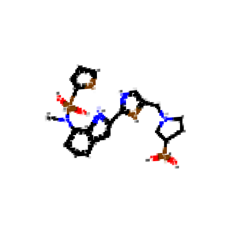 CC(C)N(c1cccc2cc(-c3ncc(CN4CCC([SH](=O)=O)C4)s3)[nH]c12)S(=O)(=O)c1cccs1